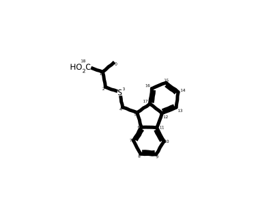 CC(CSCC1c2ccccc2-c2ccccc21)C(=O)O